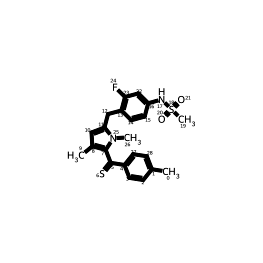 Cc1ccc(C(=S)c2c(C)cc(Cc3ccc(NS(C)(=O)=O)cc3F)n2C)cc1